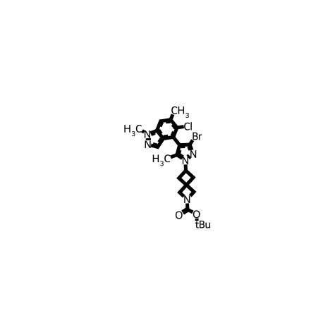 Cc1cc2c(cnn2C)c(-c2c(Br)nn(C3CC4(C3)CN(C(=O)OC(C)(C)C)C4)c2C)c1Cl